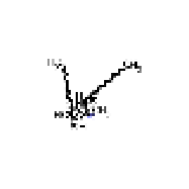 C/C=C\OC1O[C@H](CO)[C@@H](O)[C@H](OCCCCCCCCCC)C1NC(=O)CC(=O)CCCCCCCCCCC